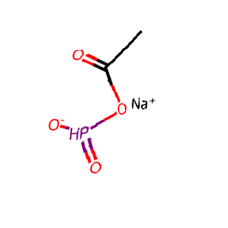 CC(=O)O[PH](=O)[O-].[Na+]